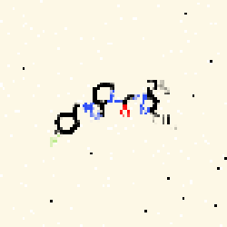 Cc1cc(C)n(CC(=O)N2CCCc3c2cnn3CC2=CC[C@@H](F)C=C2)n1